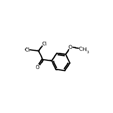 COc1cccc(C(=O)C(Cl)Cl)c1